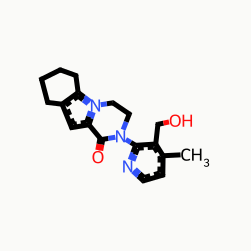 Cc1ccnc(N2CCn3c(cc4c3CCCC4)C2=O)c1CO